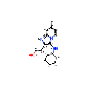 Cc1ccn2c(NC3CCCCC3)c(CCO)nc2c1